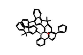 CC1(C)c2ccccc2-c2ccc(N(c3ccccc3-c3ccc(-c4ccccc4)cc3)c3cccc4c3-c3cc(-c5ccccc5)c5ccccc5c3C4(C)C)cc21